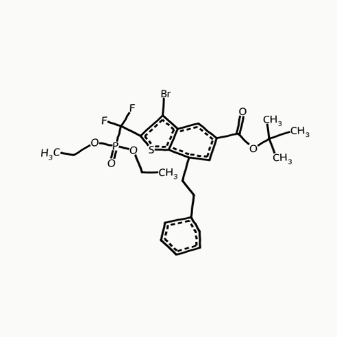 CCOP(=O)(OCC)C(F)(F)c1sc2c(CCc3ccccc3)cc(C(=O)OC(C)(C)C)cc2c1Br